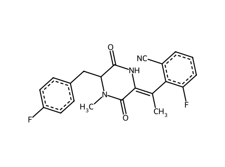 CC(=C1NC(=O)C(Cc2ccc(F)cc2)N(C)C1=O)c1c(F)cccc1C#N